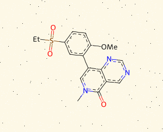 CCS(=O)(=O)c1ccc(OC)c(-c2cn(C)c(=O)c3cncnc23)c1